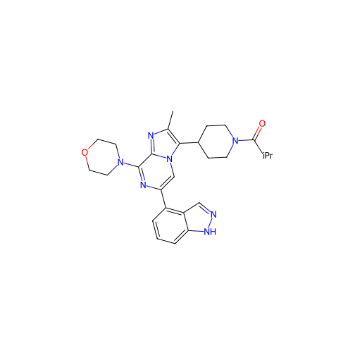 Cc1nc2c(N3CCOCC3)nc(-c3cccc4[nH]ncc34)cn2c1C1CCN(C(=O)C(C)C)CC1